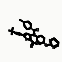 CC(C)(C)C#Cc1cc(N(C(=O)[C@H]2CC[C@H](C)CC2)[C@H]2CC[C@H](Oc3ncccn3)CC2)c(C(=O)O)s1